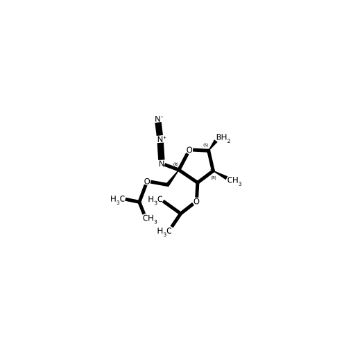 B[C@@H]1O[C@@](COC(C)C)(N=[N+]=[N-])C(OC(C)C)[C@@H]1C